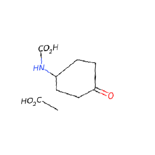 CC(=O)O.O=C1CCC(NC(=O)O)CC1